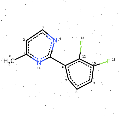 Cc1ccnc(-c2cccc(F)c2F)n1